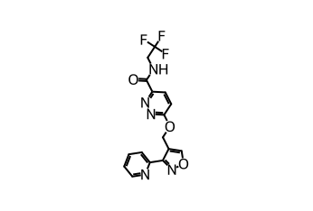 O=C(NCC(F)(F)F)c1ccc(OCc2conc2-c2ccccn2)nn1